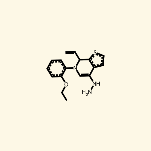 C=CC1c2sccc2C(NN)=CN1c1ccccc1OCC